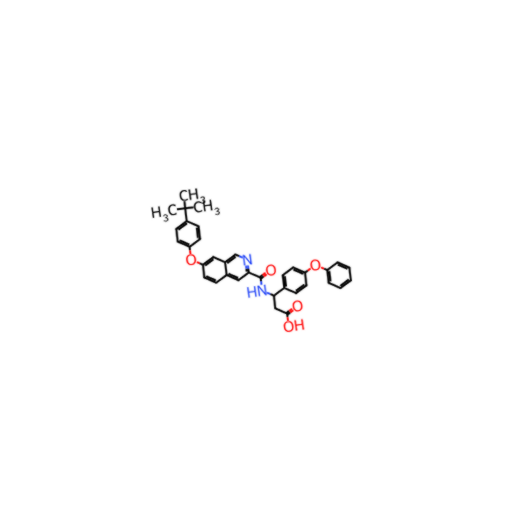 CC(C)(C)c1ccc(Oc2ccc3cc(C(=O)NC(CC(=O)O)c4ccc(Oc5ccccc5)cc4)ncc3c2)cc1